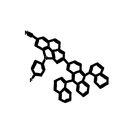 N#Cc1cc2ccc3cc(-c4ccc5c(-c6cccc7ccccc67)c6ccccc6c(-c6cccc7ccccc67)c5c4)cc4c3c2c(c1)n4-c1ccc(F)cc1